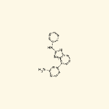 Nc1cc(-c2cccc3nc(Nc4ccccc4)nn23)ccn1